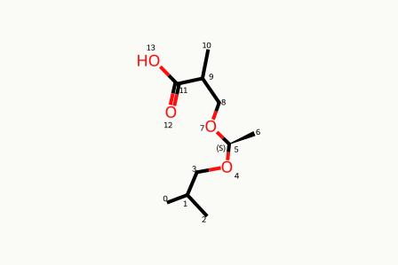 CC(C)CO[C@H](C)OCC(C)C(=O)O